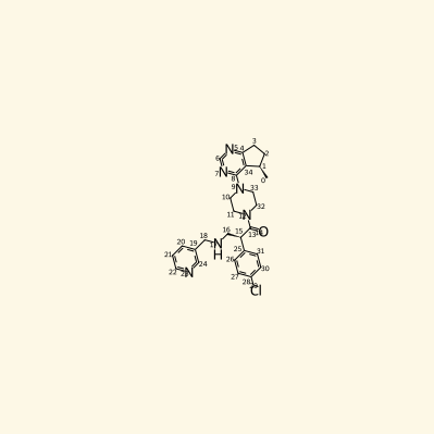 C[C@@H]1CCc2ncnc(N3CCN(C(=O)[C@H](CNCc4cccnc4)c4ccc(Cl)cc4)CC3)c21